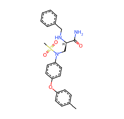 Cc1ccc(Oc2ccc(N(C[C@@H](NCc3ccccc3)C(N)=O)S(C)(=O)=O)cc2)cc1